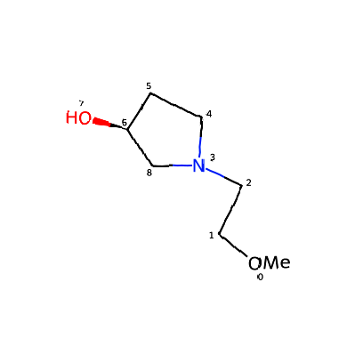 COCCN1CC[C@H](O)C1